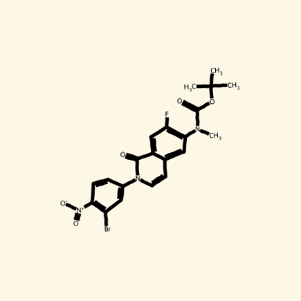 CN(C(=O)OC(C)(C)C)c1cc2ccn(-c3ccc([N+](=O)[O-])c(Br)c3)c(=O)c2cc1F